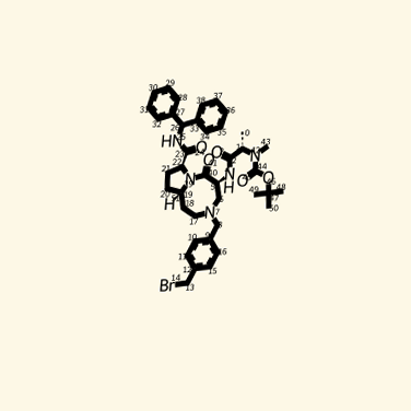 C[C@@H](C(=O)N[C@H]1CN(Cc2ccc(CBr)cc2)CC[C@H]2CC[C@@H](C(=O)NC(c3ccccc3)c3ccccc3)N2C1=O)N(C)C(=O)OC(C)(C)C